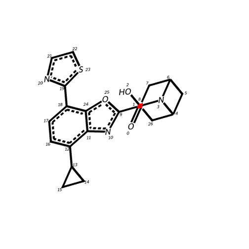 O=C(O)N1C2CC1CN(c1nc3c(C4CC4)ccc(-c4nccs4)c3o1)C2